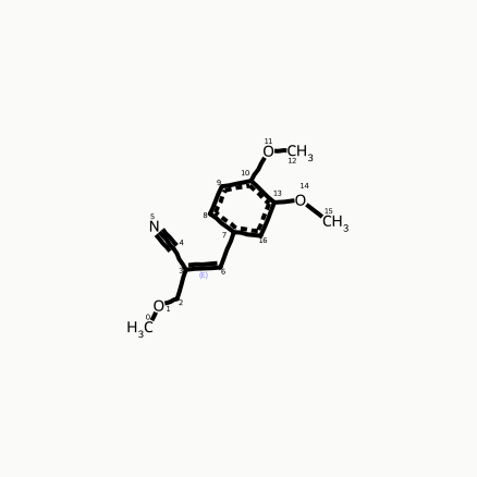 COC/C(C#N)=C/c1ccc(OC)c(OC)c1